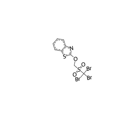 O=S(=O)(COc1nc2ccccc2s1)C(Br)(Br)Br